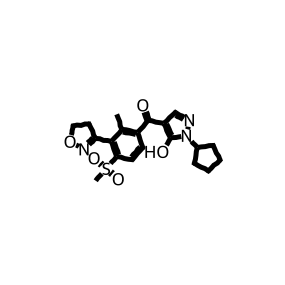 Cc1c(C(=O)c2cnn(C3CCCC3)c2O)ccc(S(C)(=O)=O)c1C1=NOCC1